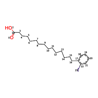 O=C(O)CCCCCCCCCCCCCCc1ccccc1I